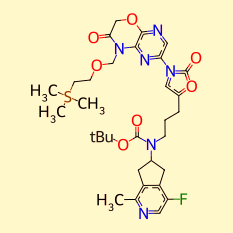 Cc1ncc(F)c2c1CC(N(CCCc1cn(-c3cnc4c(n3)N(COCCS(C)(C)C)C(=O)CO4)c(=O)o1)C(=O)OC(C)(C)C)C2